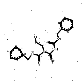 CC[CH]N(C(=N)NC(=O)OCc1ccccc1)C(=O)OCc1ccccc1